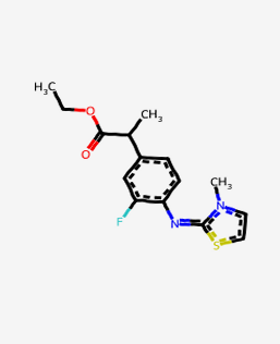 CCOC(=O)C(C)c1ccc(N=c2sccn2C)c(F)c1